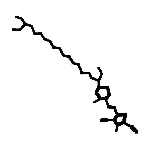 CCN(CC)CCOCCOCCOCCOCCN(CC)c1ccc(/N=N/c2sc(C#N)c(C)c2C#N)c(C)c1